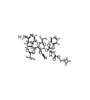 CC(C)C(=O)O[C@H]([C@@H](COP(=O)(NCC(=O)OCC1CCC1)Oc1ccccc1)OC#N)[C@@H](OC(=O)C(C)C)c1ccc2c(N)ncnn12